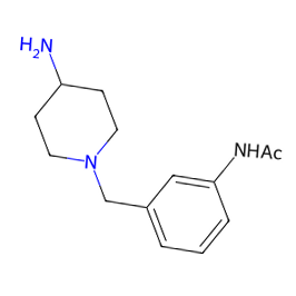 CC(=O)Nc1cccc(CN2CCC(N)CC2)c1